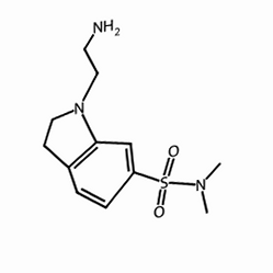 CN(C)S(=O)(=O)c1ccc2c(c1)N(CCN)CC2